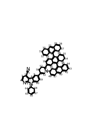 N#Cc1ccnc2c1c1cc(C3=CN=C(c4ccc5c(-c6c7c(cc8c6CCC=C8)CCC=C7)c6c(c(-c7c8c(cc9ccccc79)C=CCC8)c5c4)CCC=C6)CC3)ccc1n2C1C=CC=CC1